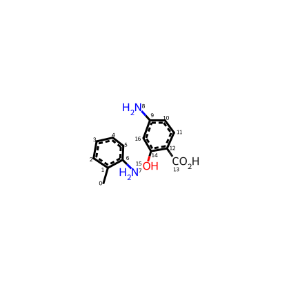 Cc1ccccc1N.Nc1ccc(C(=O)O)c(O)c1